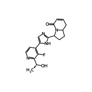 C[C@H](O)c1nccc(-c2cnc(C3CCC4CC=CC(=O)N43)[nH]2)c1F